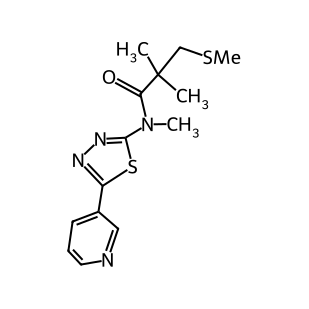 CSCC(C)(C)C(=O)N(C)c1nnc(-c2cccnc2)s1